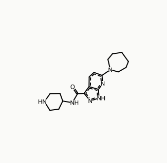 O=C(NC1CCNCC1)c1n[nH]c2nc(N3CCCCCC3)ccc12